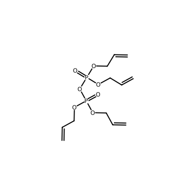 C=CCOP(=O)(OCC=C)OP(=O)(OCC=C)OCC=C